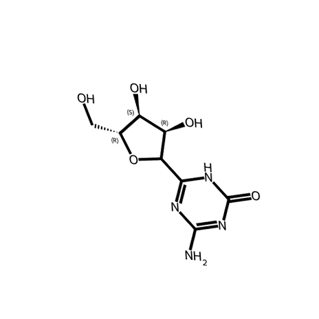 Nc1nc(C2O[C@H](CO)[C@@H](O)[C@H]2O)[nH]c(=O)n1